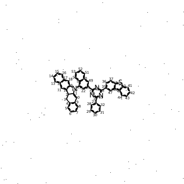 C1=C2C(Cc3ccccc31)c1cc3ccccc3cc1N2c1cc(-c2nc(-c3ccccc3)nc(-c3ccc4sc5ccccc5c4c3)n2)cc2ccccc12